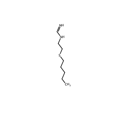 CCCCCSCCNC=N